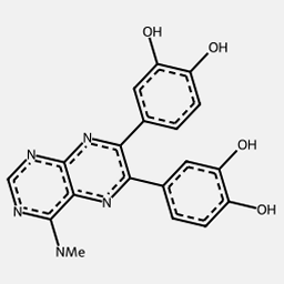 CNc1ncnc2nc(-c3ccc(O)c(O)c3)c(-c3ccc(O)c(O)c3)nc12